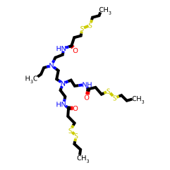 CCCSSCCC(=O)NCCN(CCC)CCN(CCNC(=O)CCSSCCC)CCNC(=O)CCSSCCC